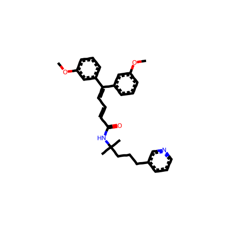 COc1cccc(C(=CC=CC(=O)NC(C)(C)CCCc2cccnc2)c2cccc(OC)c2)c1